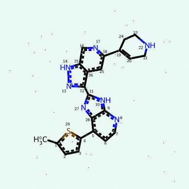 Cc1ccc(-c2ccnc3[nH]c(-c4n[nH]c5cnc(C6=CCNCC6)cc45)nc23)s1